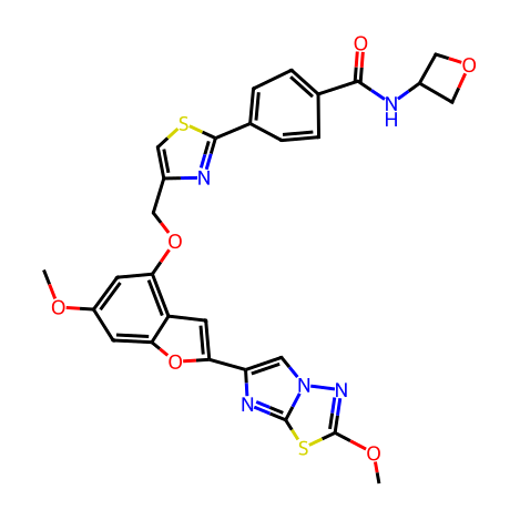 COc1cc(OCc2csc(-c3ccc(C(=O)NC4COC4)cc3)n2)c2cc(-c3cn4nc(OC)sc4n3)oc2c1